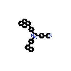 c1ccc2c(-c3ccc(-c4nc(-c5ccc(-c6ccncc6)cc5)cc(-c5ccc(-c6ccc7ccc8cccc9ccc6c7c89)cc5)n4)cc3)cccc2c1